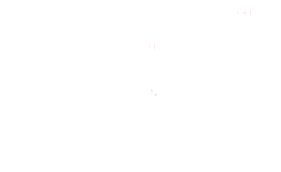 CCc1ccc(-c2nc(-c3ccc(O)cc3O)cs2)cc1